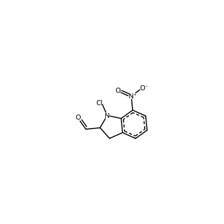 O=CC1Cc2cccc([N+](=O)[O-])c2N1Cl